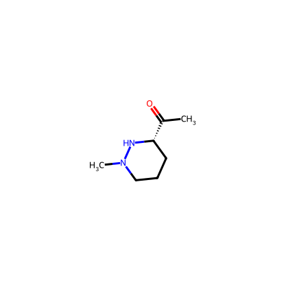 CC(=O)[C@@H]1CCCN(C)N1